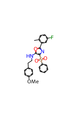 COc1ccc(CCNc2oc(-c3cc(F)ccc3C)nc2S(=O)(=O)c2ccccc2)cc1